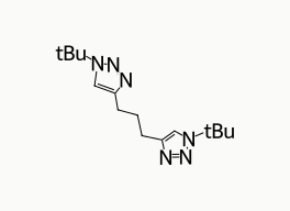 CC(C)(C)n1cc(CCCc2cn(C(C)(C)C)nn2)nn1